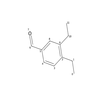 CCc1ccc(C=O)cc1CC